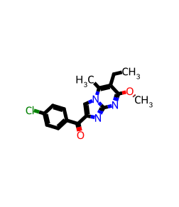 CCc1c(OC)nc2nc(C(=O)c3ccc(Cl)cc3)cn2c1C